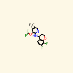 Fc1ccc2c(c1F)OCCC2Nc1ncc(C(F)(F)F)cc1OC(F)F